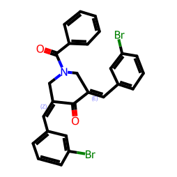 O=C1/C(=C\c2cccc(Br)c2)CN(C(=O)c2ccccc2)C/C1=C\c1cccc(Br)c1